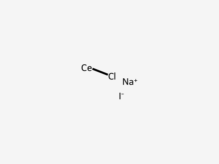 [Cl][Ce].[I-].[Na+]